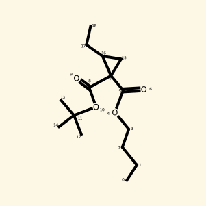 CCCCOC(=O)C1(C(=O)OC(C)(C)C)CC1CC